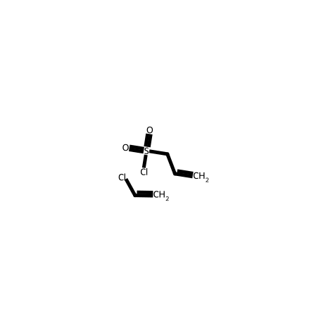 C=CCS(=O)(=O)Cl.C=CCl